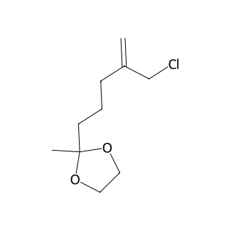 C=C(CCl)CCCC1(C)OCCO1